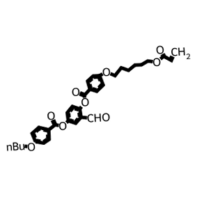 C=CC(=O)OCCCCCCOc1ccc(C(=O)Oc2ccc(OC(=O)c3ccc(OCCCC)cc3)cc2C=O)cc1